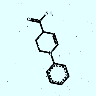 NC(=O)C1C=CN(c2ccccc2)CC1